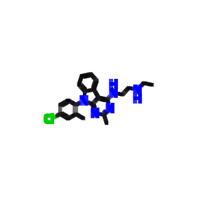 CCNCCNc1nc(C)nc2c1c1ccccc1n2-c1ccc(Cl)cc1C